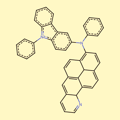 C1=CC2=CC3=C4C(=CC=C5C=CC(N(c6ccccc6)c6ccc7c(c6)c6ccccc6n7-c6ccccc6)=C(C=C3)C54)C2N=C1